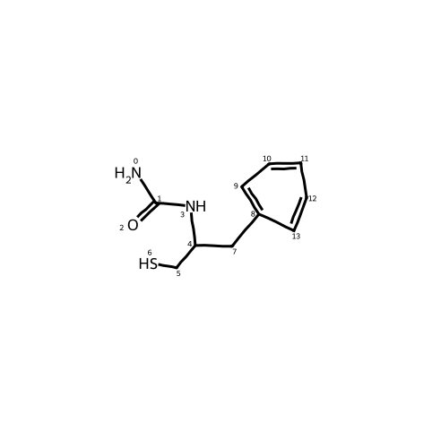 NC(=O)NC(CS)Cc1ccccc1